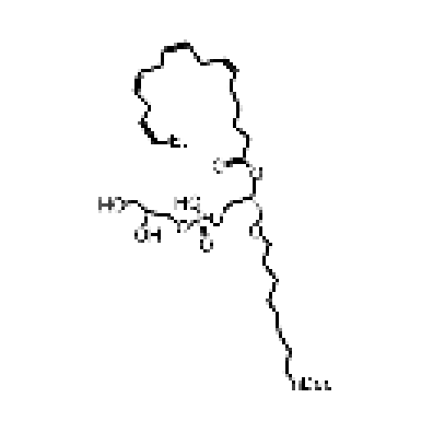 CC/C=C\C/C=C\C/C=C\C/C=C\CCCCC(=O)O[C@H](COCCCCCCCCCCCCCCCCCC)COP(=O)(O)OC[C@@H](O)CO